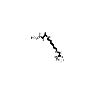 CC(NCCC=CCCN[C@@H](C)C(=O)NC(=O)O)C(=O)NC(=O)O